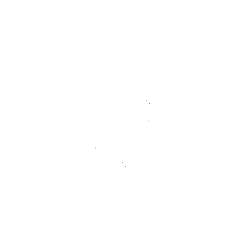 NC(=O)C1ONC2=CC=CCC21